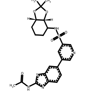 CC(=O)Nc1nc2ccc(-c3cncc(S(=O)(=O)NC4CCC[C@@H]5OC(C)(C)O[C@H]45)c3)cc2s1